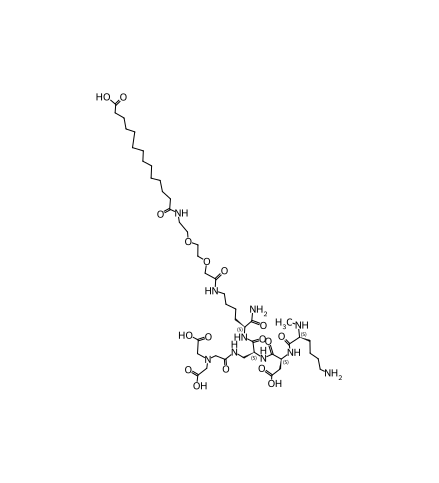 CN[C@@H](CCCCN)C(=O)N[C@@H](CC(=O)O)C(=O)N[C@@H](CNC(=O)CN(CC(=O)O)CC(=O)O)C(=O)N[C@@H](CCCCNC(=O)COCCOCCNC(=O)CCCCCCCCCCCCC(=O)O)C(N)=O